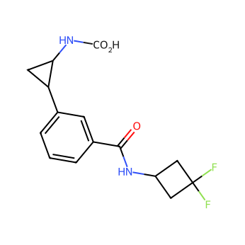 O=C(O)NC1CC1c1cccc(C(=O)NC2CC(F)(F)C2)c1